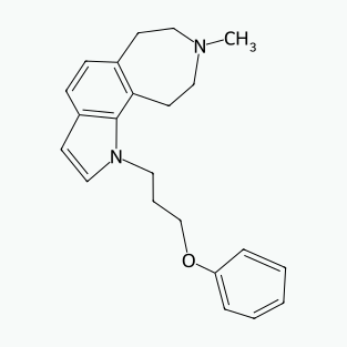 CN1CCc2ccc3ccn(CCCOc4ccccc4)c3c2CC1